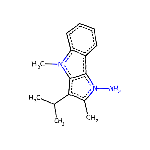 Cc1c(C(C)C)c2c(c3ccccc3n2C)n1N